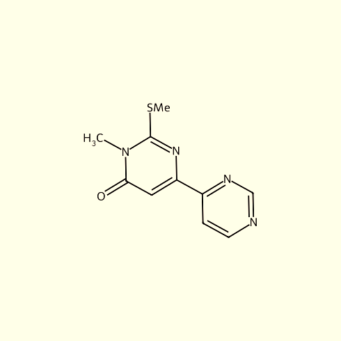 CSc1nc(-c2ccncn2)cc(=O)n1C